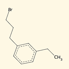 CCc1cccc(CCCBr)c1